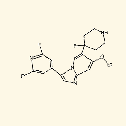 CCOc1cc2ncc(-c3cc(F)nc(F)c3)n2cc1C1(F)CCNCC1